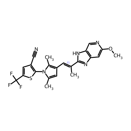 COc1cc2nc(/C(C)=C/c3cc(C)n(-c4sc(C(F)(F)F)cc4C#N)c3C)[nH]c2cn1